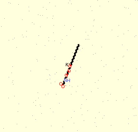 CCCCCCCCCCCCCCOCCOCCOCCNCCC(=O)[O-].[K+]